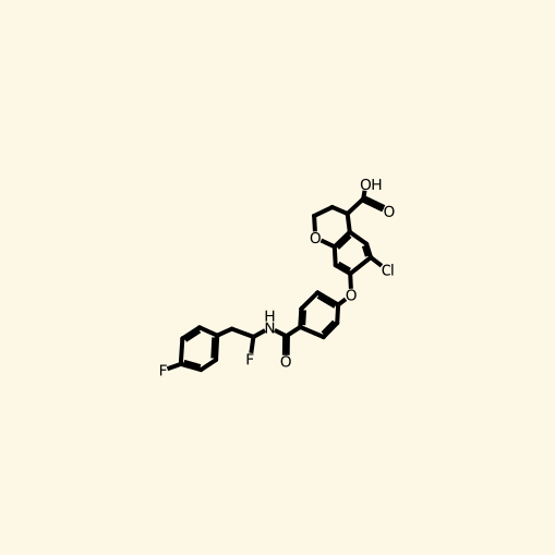 O=C(NC(F)Cc1ccc(F)cc1)c1ccc(Oc2cc3c(cc2Cl)C(C(=O)O)CCO3)cc1